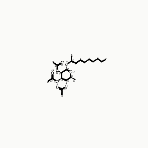 CCCCCCCC[C@H](C)O[C@@H]1O[C@@H](C)[C@H](OC(C)=O)[C@@H](OC(C)=O)[C@H]1OC(C)=O